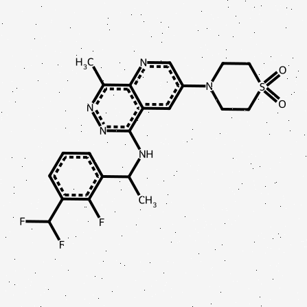 Cc1nnc(NC(C)c2cccc(C(F)F)c2F)c2cc(N3CCS(=O)(=O)CC3)cnc12